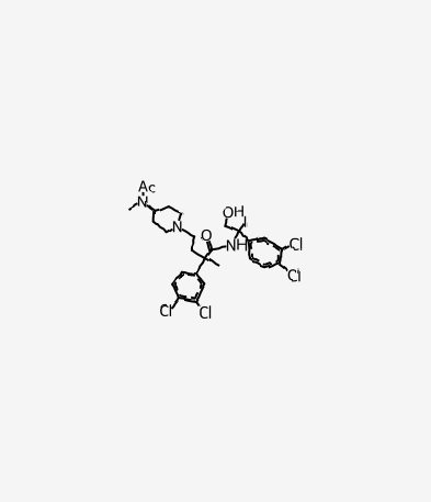 CC(=O)N(C)C1CCN(CCC(C)(C(=O)NC(I)(CO)c2ccc(Cl)c(Cl)c2)c2ccc(Cl)c(Cl)c2)CC1